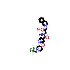 O=C(NC[C@H](O)CN1CCc2ccccc2C1)c1ccnc(OC2CCN(CC(F)(F)F)CC2)c1